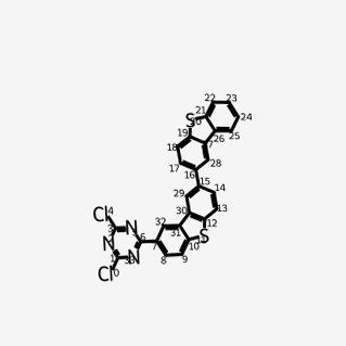 Clc1nc(Cl)nc(-c2ccc3sc4ccc(-c5ccc6sc7ccccc7c6c5)cc4c3c2)n1